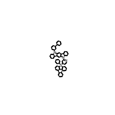 c1ccc(-c2cccc(-n3c4ccccc4c4cc5c(cc43)c3ccccc3n5-c3cc(S(c4ccccc4)(c4ccccc4)c4cccc5c4sc4ccccc45)ccn3)c2)cc1